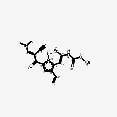 C#C/C(=C\N(C)C)C(=O)c1cc(C=C)c(/C=C(\CC)NC(=O)OC(C)(C)C)n1P